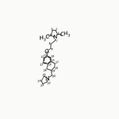 CC1CCC(C)N1CCCOc1ccc2c(c1)CCC(CN1CCCC1)C2